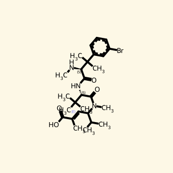 CN[C@H](C(=O)N[C@H](C(=O)N(C)C(/C=C(\C)C(=O)O)C(C)C)C(C)(C)C)C(C)(C)c1cccc(Br)c1